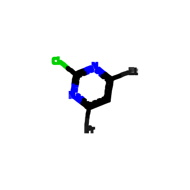 CCc1cc(C(C)C)nc(Cl)n1